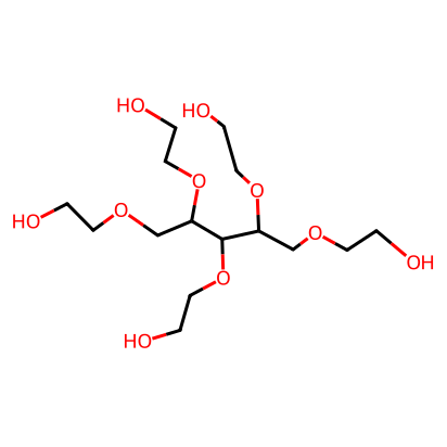 OCCOCC(OCCO)C(OCCO)C(COCCO)OCCO